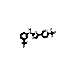 FC(F)(F)c1cccc(Nc2nc(-c3ccc(C(F)(F)F)nc3)cs2)c1